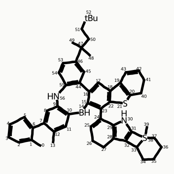 Cc1ccccc1-c1cc2c(cc1C)Bc1c(cc3c4c(sc3c1C1=CCCc3c1[nH]c1c3C3CCCCS13C)CCC=C4)-c1cc(C(C)(C)CCC(C)(C)C)ccc1N2